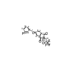 O=C1c2ccc(OCc3cccc(F)c3)cc2C(=O)N1CC(O)C(F)(F)F